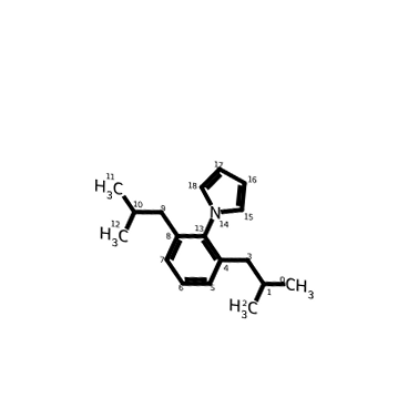 CC(C)Cc1cccc(CC(C)C)c1-n1cccc1